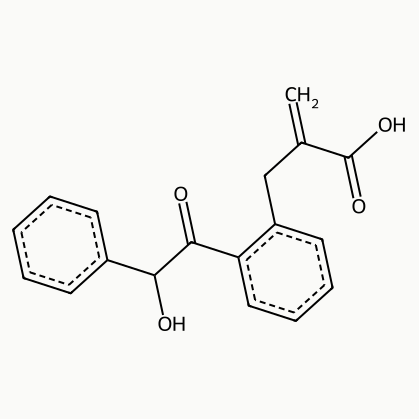 C=C(Cc1ccccc1C(=O)C(O)c1ccccc1)C(=O)O